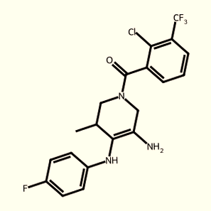 CC1CN(C(=O)c2cccc(C(F)(F)F)c2Cl)CC(N)=C1Nc1ccc(F)cc1